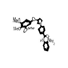 COc1cc(O[C@H]2CCN(c3ccc(C(=O)Nc4ccccc4N)cc3)C2)cc(OC)c1OC